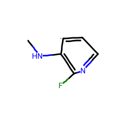 CNc1[c]ccnc1F